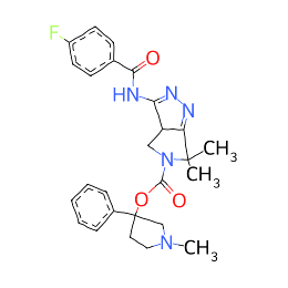 CN1CCC(OC(=O)N2CC3C(NC(=O)c4ccc(F)cc4)=NN=C3C2(C)C)(c2ccccc2)C1